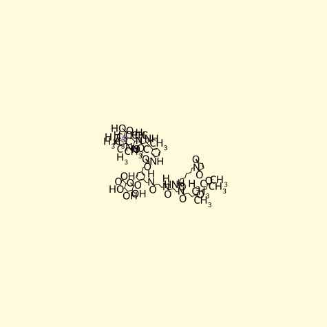 CNC(C(=O)NC(C(=O)N(C)C(/C=C(\C)C(=O)O)C(C)C)C(C)(C)C)C(C)(C)c1cccc(NC(=O)OCc2ccc(OC3OC(C(=O)O)C(O)C(O)C3O)c(CNC(=O)CCNC(=O)C(CNC(=O)CCC(C)(C)OCCC(C)(C)OC)NC(=O)CCCCCN3C(=O)C=CC3=O)c2)c1